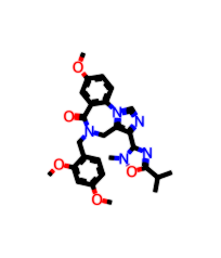 COc1ccc(CN2Cc3c(C4N=C(C(C)C)ON4C)ncn3-c3ccc(OC)cc3C2=O)c(OC)c1